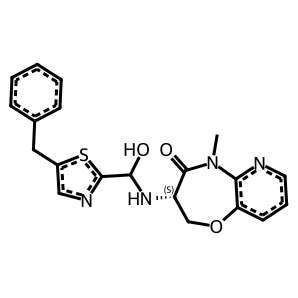 CN1C(=O)[C@@H](NC(O)c2ncc(Cc3ccccc3)s2)COc2cccnc21